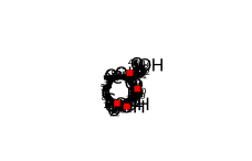 CC[C@@H]1/C=C(\C)C[C@H](C)C[C@H](OC)[C@H]2O[C@](O)([C@H](C)C[C@@H]2OC)[C@@H](O)C(=O)N2CCCC[C@H]2C(=O)O[C@H](/C(C)=C/C2CC[C@@H](O)[C@H](OC)C2)[C@@H](C)[C@@H](O)CC1=O